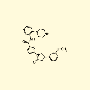 COc1cccc(C2CC(=O)N(c3ccc(C(=O)Nc4cnccc4N4CCNCC4)s3)C2)c1